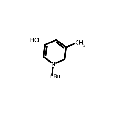 CCCCN1C=CC=C(C)C1.Cl